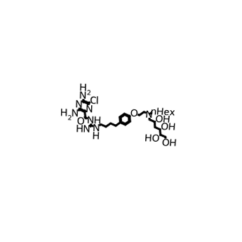 CCCCCCN(CCOc1ccc(CCCCNC(=N)NC(=O)c2nc(Cl)c(N)nc2N)cc1)C[C@H](O)C[C@H](O)[C@H](O)CO